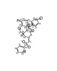 O=S(=O)(C[C@@H]1CC[C@@]2(S(=O)(=O)c3ccc(Cl)cc3)c3c(F)ccc(F)c3OC[C@H]2C1)c1ccccn1